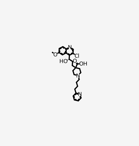 COc1ccc2ncc(Cl)c([C@@H](O)CCC3(C(=O)O)CCN(CCCCc4ccccn4)CC3)c2c1